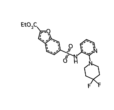 CCOC(=O)c1cc2ccc(S(=O)(=O)Nc3cccnc3N3CCC(F)(F)CC3)cc2o1